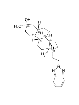 CC12CC[C@H]3[C@@H](CC[C@H]4C[C@](C)(O)CC[C@@H]43)[C@@H]1CC[C@@H]2CCn1nc2ccccc2n1